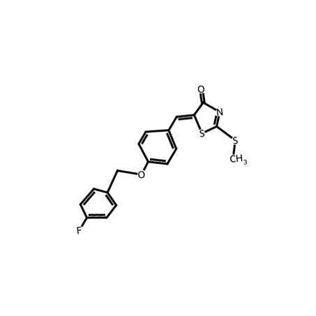 CSC1=NC(=O)C(=Cc2ccc(OCc3ccc(F)cc3)cc2)S1